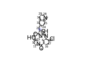 O=C1N=C(Nc2cc(C(=O)N3CC[C@H](O)C3)ccc2Cl)S/C1=C\c1ccc2ncccc2c1